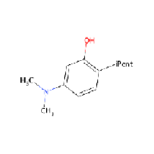 CCCC(C)c1ccc(N(C)C)cc1O